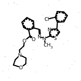 CN(/N=C/c1ccccc1C(=O)OCCN1CCOCC1)c1nc(-c2ccccc2Cl)cs1